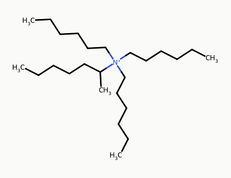 CCCCCC[N+](CCCCCC)(CCCCCC)C(C)CCCCC